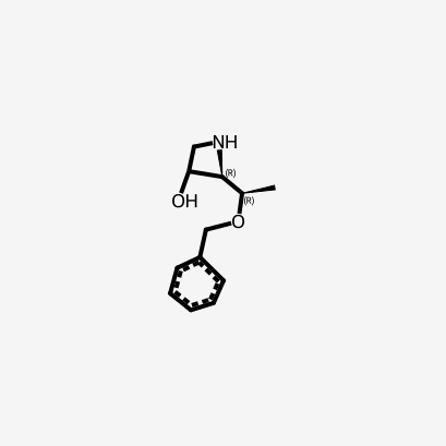 C[C@@H](OCc1ccccc1)[C@@H]1NCC1O